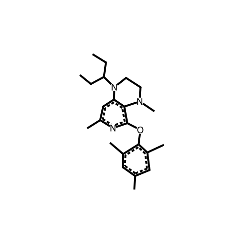 CCC(CC)N1CCN(C)c2c1cc(C)nc2Oc1c(C)cc(C)cc1C